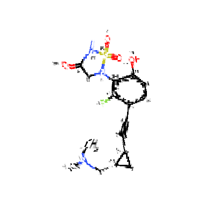 CN(C)C[C@H]1C[C@@H]1C#Cc1ccc(O)c(N2CC(=O)NS2(=O)=O)c1F